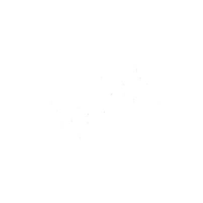 CCOC(C)OC(=O)C(C)Oc1ccc2ccc(Oc3ccc(C(F)(F)F)cc3Cl)cc2c1